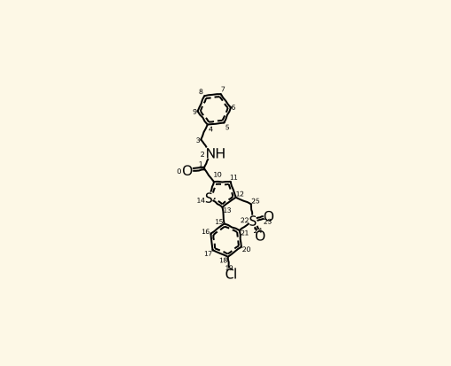 O=C(NCc1ccccc1)c1cc2c(s1)-c1ccc(Cl)cc1S(=O)(=O)C2